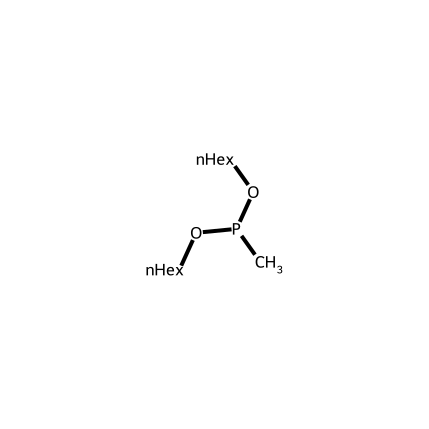 CCCCCCOP(C)OCCCCCC